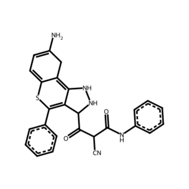 N#CC(C(=O)Nc1ccccc1)C(=O)C1NNC2=C3CC(N)=CC=C3SC(c3ccccc3)=C21